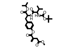 C=C(CC(=O)OC)C(=O)Oc1ccc(CC(NC(=O)C(NC(=O)OC(C)(C)C)C(C)C)C(=O)OC(C)C)cc1